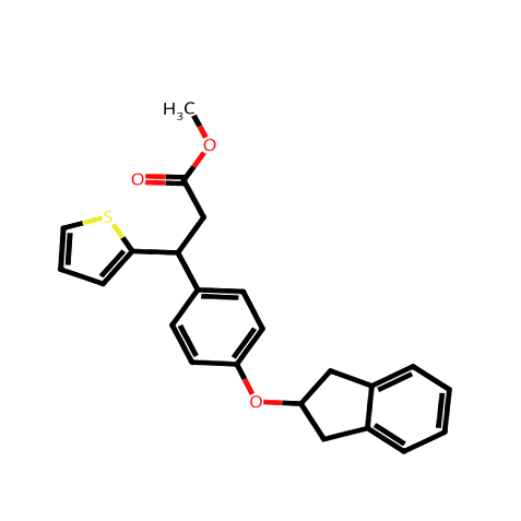 COC(=O)CC(c1ccc(OC2Cc3ccccc3C2)cc1)c1cccs1